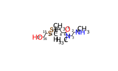 CNCCN(C)C(=O)CCC(C)(C)SSCCO